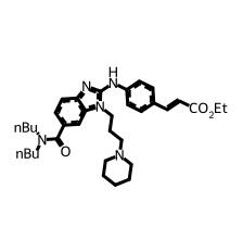 CCCCN(CCCC)C(=O)c1ccc2nc(Nc3ccc(/C=C/C(=O)OCC)cc3)n(CCCN3CCCCC3)c2c1